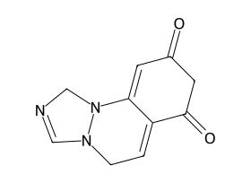 O=C1C=C2C(=CCN3C=NCN23)C(=O)C1